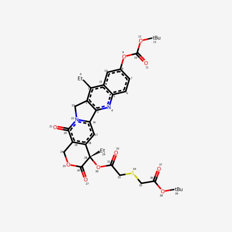 CCc1c2c(nc3ccc(OC(=O)OC(C)(C)C)cc13)-c1cc3c(c(=O)n1C2)COC(=O)[C@@]3(CC)OC(=O)CSCC(=O)OC(C)(C)C